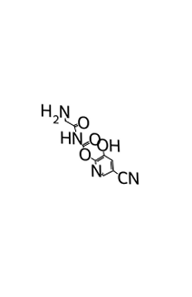 N#Cc1cnc(OC(=O)NC(=O)CN)c(O)c1